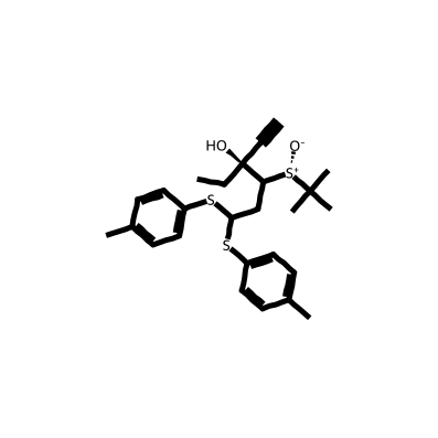 C#C[C@@](O)(CC)C(CC(Sc1ccc(C)cc1)Sc1ccc(C)cc1)[S@+]([O-])C(C)(C)C